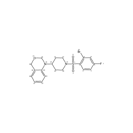 O=S(=O)(c1ccc(F)cc1Br)N1CCC(N2COCc3ccccc32)CC1